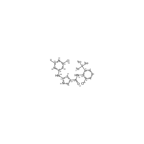 [2H]C([2H])([2H])c1cccc(Cl)c1NC(=O)c1cnc(Nc2cc(Cl)nc(C)n2)s1